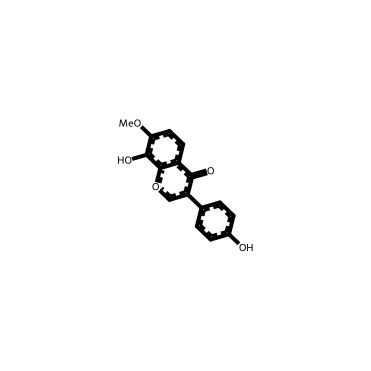 COc1ccc2c(=O)c(-c3ccc(O)cc3)coc2c1O